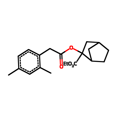 CCOC(=O)C1(OC(=O)Cc2ccc(C)cc2C)CC2CCC1C2